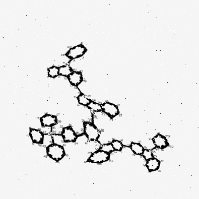 c1ccc(-n2c3ccccc3c3cc(-c4ccc5c(c4)c4ccccc4n5-c4cc(-c5ccc([Si](c6ccccc6)(c6ccccc6)c6ccccc6)cc5)nc(-n5c6ccccc6c6cc(-c7ccc8c(c7)c7ccccc7n8-c7ccccc7)ccc65)n4)ccc32)cc1